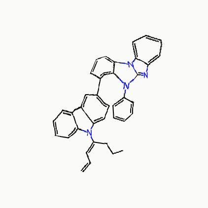 C=C/C=C(\CCC)n1c2ccccc2c2cc(-c3cccc4c3n(-c3ccccc3)c3nc5ccccc5n43)ccc21